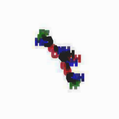 O=C(COC1CCC(C(F)(F)F)NC1)NC12CCC(NC(=O)COC3CCC(C(F)(F)F)NC3)(CC1)[C@@H](O)C2